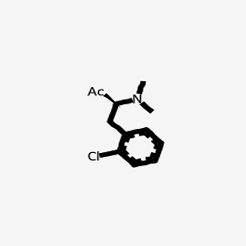 CC(=O)[C@H](Cc1ccccc1Cl)N(C)C